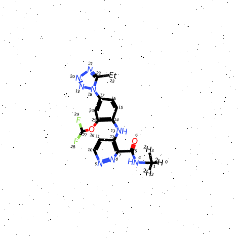 [2H]C([2H])([2H])NC(=O)c1nnccc1Nc1ccc(-n2nnnc2CC)cc1OC(F)F